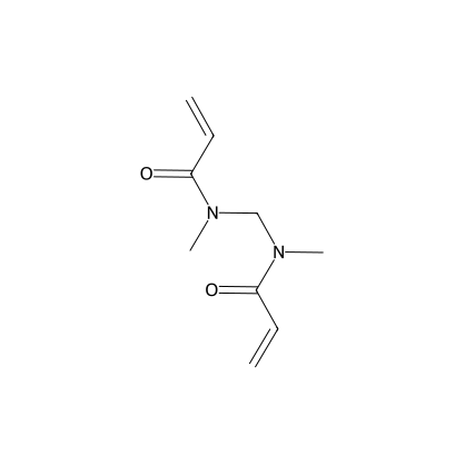 C=CC(=O)N(C)CN(C)C(=O)C=C